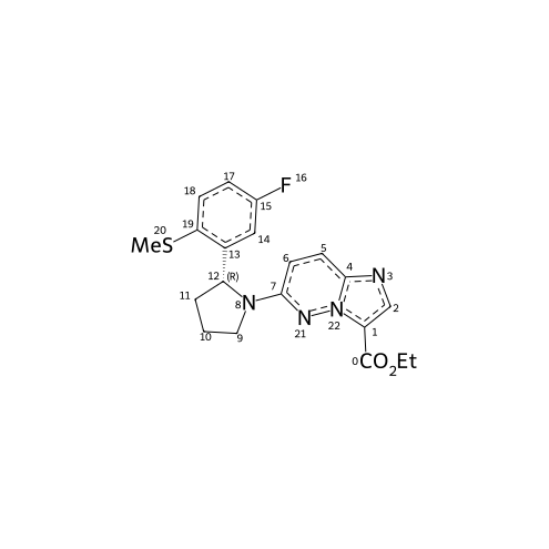 CCOC(=O)c1cnc2ccc(N3CCC[C@@H]3c3cc(F)ccc3SC)nn12